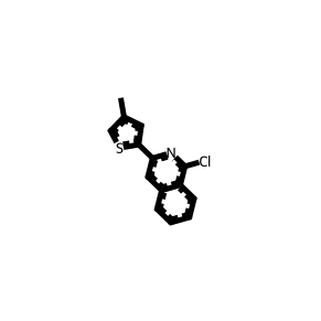 Cc1csc(-c2cc3ccccc3c(Cl)n2)c1